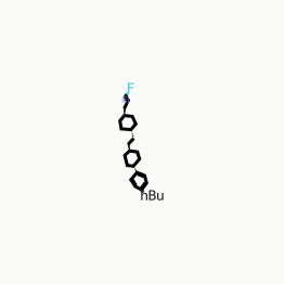 CCCCc1ccc([C@H]2CC[C@H](CC[C@H]3CC[C@H](C/C=C/F)CC3)CC2)cc1